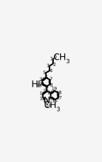 CCCCCCc1ccc(C2=CCN(C)c3ccccc32)cc1.I